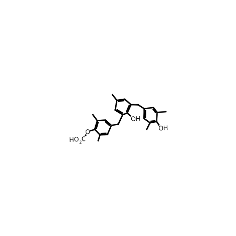 Cc1cc(Cc2cc(C)c(O)c(C)c2)c(O)c(Cc2cc(C)c(OC(=O)O)c(C)c2)c1